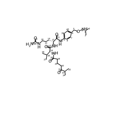 CC(C)NOCc1ccc(NC(=O)[C@@H](CCCNC(N)=O)NC(=O)[C@H](NC(=O)CCCC(=O)C(C)C)C(C)C)cc1